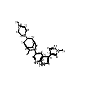 CC1C2CC(CC1c1cnc3[nH]cc(-c4cnn(C)c4)c3c1)CC(N1CCN(C)CC1)C2